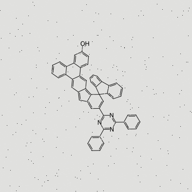 Oc1ccc2c(c1)c1ccccc1c1cc3c(cc21)=C1C(=CC(c2nc(-c4ccccc4)nc(-c4ccccc4)n2)=CC12c1ccccc1-c1ccccc12)C=3